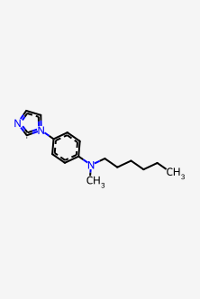 CCCCCCN(C)c1ccc(-n2[c]ncc2)cc1